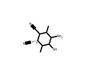 CC1C(N)C(S)C(C)[C@H](C#N)C1C#N